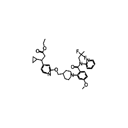 CCOC(=O)CC(c1ccnc(OCC2CCN(c3cc(OC)ccc3C(=O)N(CC(C)(F)F)c3ccccn3)CC2)c1)C1CC1